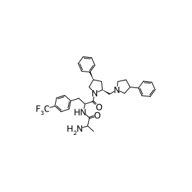 CC(N)C(=O)NC(Cc1ccc(C(F)(F)F)cc1)C(=O)N1C[C@@H](c2ccccc2)C[C@H]1CN1CCC(c2ccccc2)C1